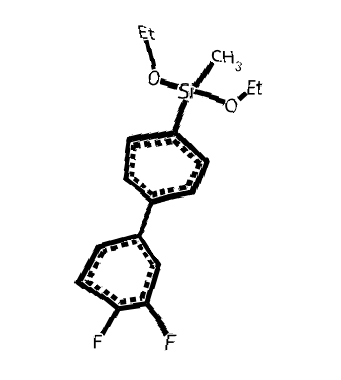 CCO[Si](C)(OCC)c1ccc(-c2ccc(F)c(F)c2)cc1